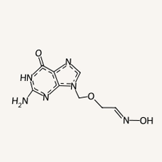 Nc1nc2c(ncn2COCC=NO)c(=O)[nH]1